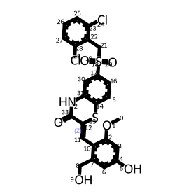 COc1cc(O)cc(CO)c1/C=C1\Sc2ccc(S(=O)(=O)Cc3c(Cl)cccc3Cl)cc2NC1=O